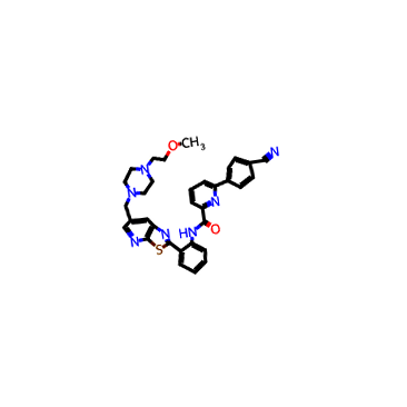 COCCN1CCN(Cc2cnc3sc(-c4ccccc4NC(=O)c4cccc(-c5ccc(C#N)cc5)n4)nc3c2)CC1